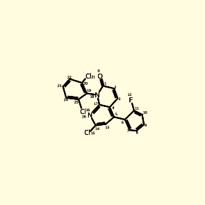 O=c1ccc2c(-c3ccccc3F)cc(Cl)nc2n1-c1c(Cl)cccc1Cl